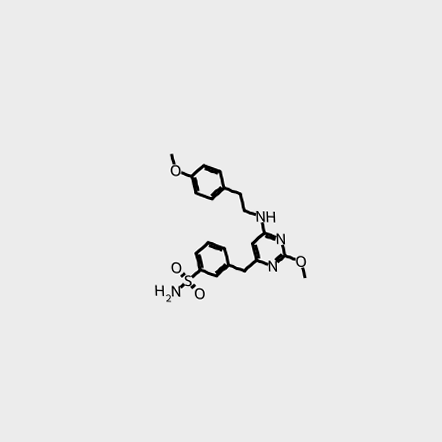 COc1ccc(CCNc2cc(Cc3cccc(S(N)(=O)=O)c3)nc(OC)n2)cc1